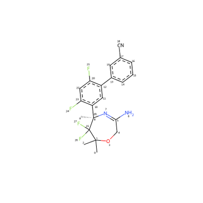 CC1(C)OCC(N)=N[C@](C)(c2cc(-c3cccc(C#N)c3)c(F)cc2F)C1(F)F